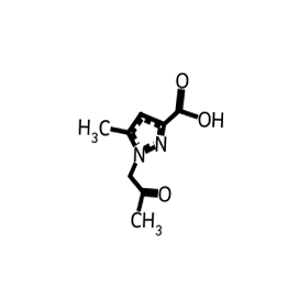 CC(=O)Cn1nc(C(=O)O)cc1C